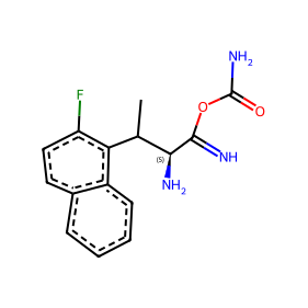 CC(c1c(F)ccc2ccccc12)[C@H](N)C(=N)OC(N)=O